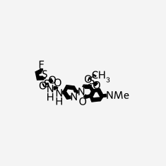 CNc1ccc2c(=O)n(-c3ccc(NC(=O)NS(=O)(=O)c4ccc(F)s4)cn3)cc(S(C)(=O)=O)c2c1